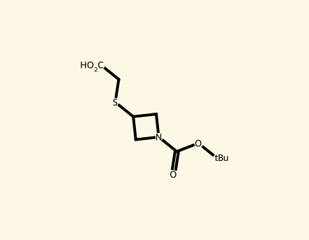 CC(C)(C)OC(=O)N1CC(SCC(=O)O)C1